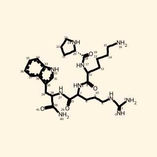 N=C(N)NCCCC(NC(=O)C(CCCCN)NC(=O)[C@@H]1CCCN1)C(=O)NC(Cc1c[nH]c2ccccc12)C(N)=O